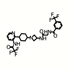 O=C(CNC(=O)c1cccc(C(F)(F)F)c1)NC1CN(C2CCC(c3ncccc3NC(=O)C(F)(F)F)CC2)C1